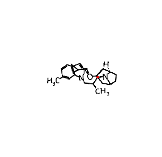 Cc1ccc2cnn(CC(C)CN3C4CC[C@@H]3CC(OCC3CC3)C4)c2c1